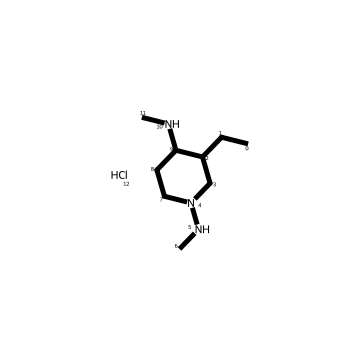 CCC1CN(NC)CCC1NC.Cl